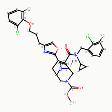 CC(C)(C)OC(=O)N1CC2CC(c3nc(CCCOc4c(Cl)cccc4Cl)co3)=C(C(=O)N(Cc3cccc(Cl)c3Cl)C3CC3)[C@@H](C1)N2C(=O)O